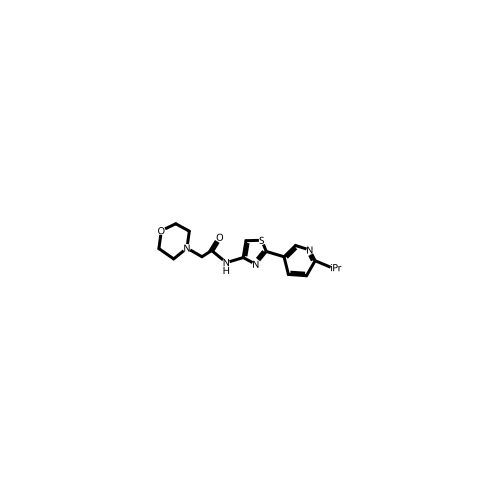 CC(C)c1ccc(-c2nc(NC(=O)CN3CCOCC3)cs2)cn1